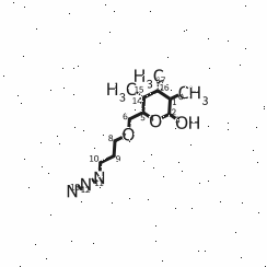 CC1C(O)OC(COCCCN=[N+]=[N-])[C@H](C)[C@@H]1C